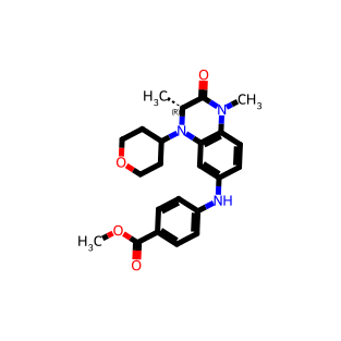 COC(=O)c1ccc(Nc2ccc3c(c2)N(C2CCOCC2)[C@H](C)C(=O)N3C)cc1